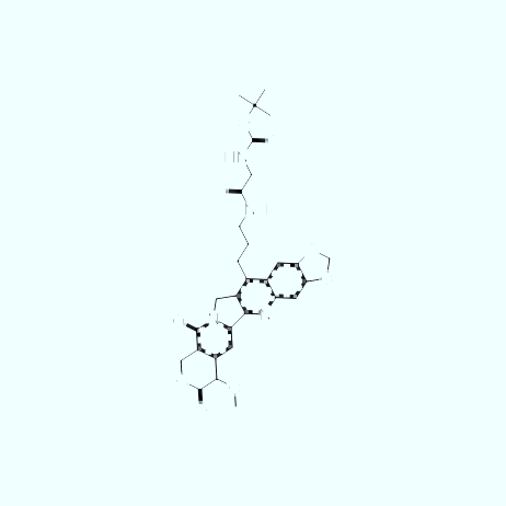 COC1C(=O)OCc2c1cc1n(c2=O)Cc2c-1nc1cc3c(cc1c2CCCNC(=O)CNC(=O)OC(C)(C)C)OCO3